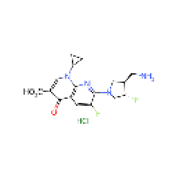 Cl.NC[C@@H]1CN(c2nc3c(cc2F)c(=O)c(C(=O)O)cn3C2CC2)C[C@H]1F